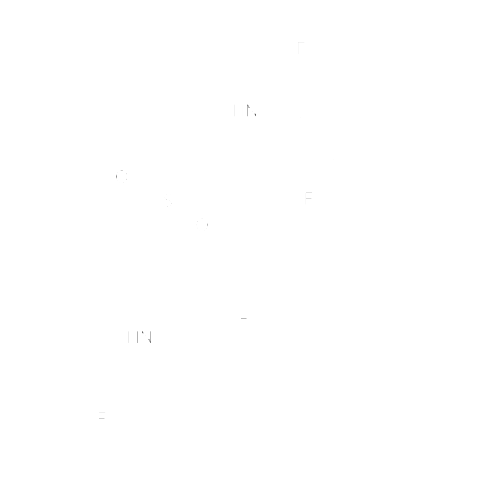 O=S(=O)(CCNc1c(F)cccc1F)CCNc1c(F)cccc1F